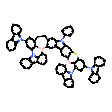 c1ccc(-n2c3cc4c(cc3c3cc5c(cc32)Sc2cc(-n3c6ccccc6c6ccccc63)cc3c2B5c2cccc5c6ccccc6n-3c25)B2c3c(cc(-n5c6ccccc6c6ccccc65)cc3-n3c5ccccc5c5cccc2c53)CC4)cc1